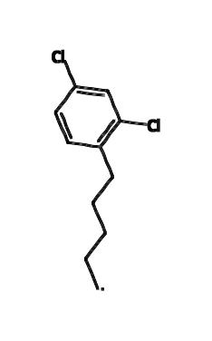 [CH2]CCCCc1ccc(Cl)cc1Cl